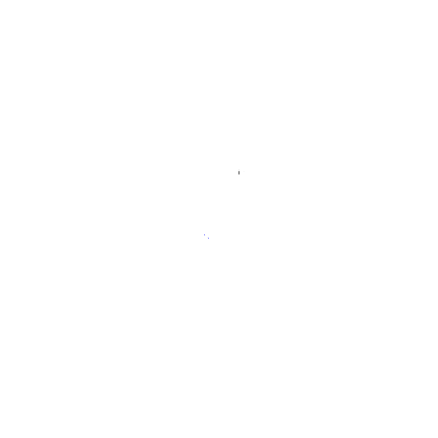 CC/C=N\C=C(/C)C(C)C